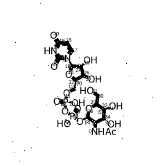 CC(=O)NC1[C@@H](O[P@@](=O)(O)O[P@@](=O)(O)OC[C@H]2O[C@@H](n3ccc(=O)[nH]c3=O)[C@@H](O)C2O)OC(CO)[C@@H](O)[C@@H]1O